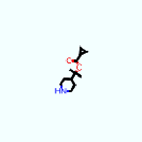 CC(C)(OC(=O)C1CC1)C1CCNCC1